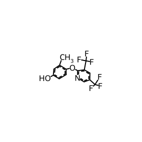 Cc1cc(O)ccc1Oc1ncc(C(F)(F)F)cc1C(F)(F)F